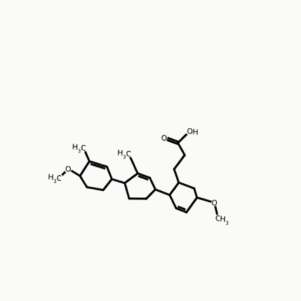 COC1C=CC(C2C=C(C)C(C3C=C(C)C(OC)CC3)CC2)C(CCC(=O)O)C1